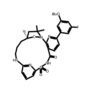 CC(C)COc1cc(F)cc(-c2ccc3c(n2)N2C[C@@H](CCCNc4cccc(n4)S(=O)(=O)NC3=O)CC2(C)C)c1